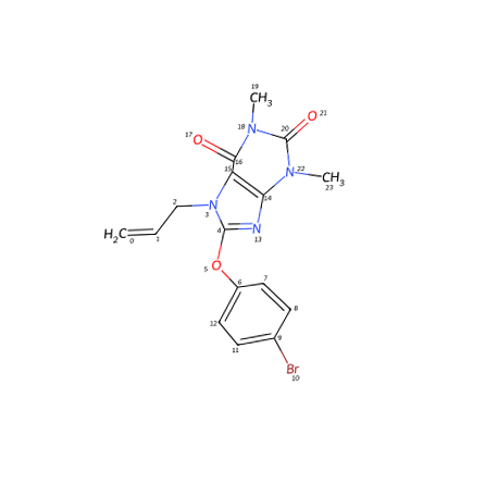 C=CCn1c(Oc2ccc(Br)cc2)nc2c1c(=O)n(C)c(=O)n2C